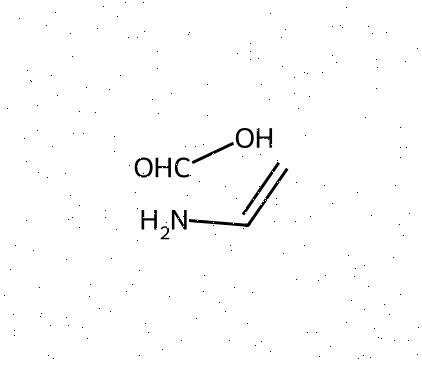 C=CN.O=CO